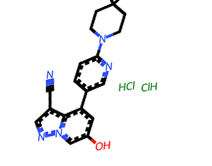 CC1(N)CCN(c2ccc(-c3cc(O)cn4ncc(C#N)c34)cn2)CC1.Cl.Cl